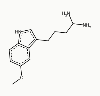 COc1ccc2[nH]cc(CCCC(N)N)c2c1